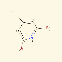 Fc1cc(Br)nc(Br)c1